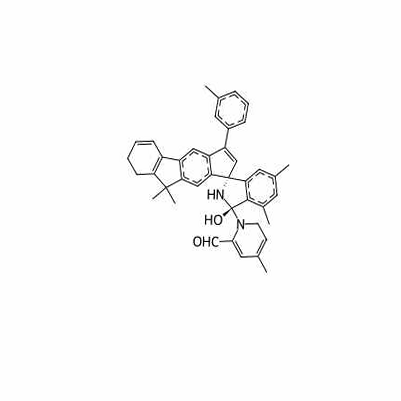 CC1=CCN([C@]2(O)N[C@]3(C=C(c4cccc(C)c4)c4cc5c(cc43)C(C)(C)C3=C5C=CCC3)c3cc(C)cc(C)c32)C(C=O)=C1